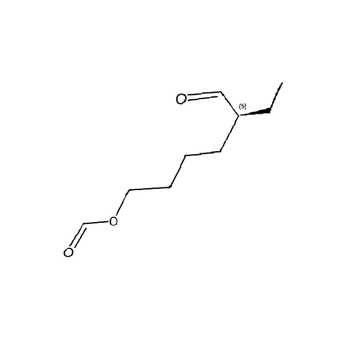 CC[C@H](C=O)CCCCOC=O